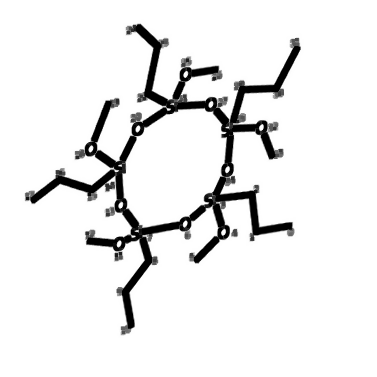 CCC[Si]1(OC)O[Si](CCC)(OC)O[Si](CCC)(OC)O[Si](CCC)(OC)O[Si](CCC)(OC)O1